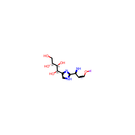 N=C(/C=C\OI)c1nc([C@@H](O)[C@H](O)[C@H](O)CO)c[nH]1